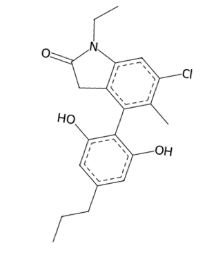 CCCc1cc(O)c(-c2c(C)c(Cl)cc3c2CC(=O)N3CC)c(O)c1